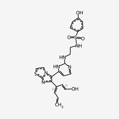 C=C/C=C(\C=C\O)c1nc2sccn2c1C1=CC=NC(NCCNS(=O)(=O)c2ccc(O)cc2)N1